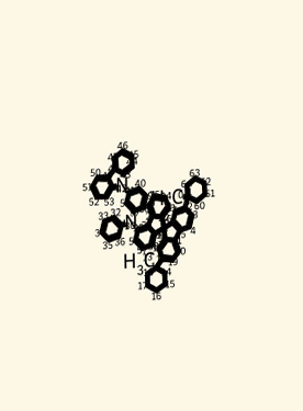 CC1(c2ccc3c(c2)C2(c4cc(C5(C)CCCCC5)ccc4-3)c3ccccc3-c3c(N(c4ccccc4)c4cccc(-n5c6ccccc6c6ccccc65)c4)cccc32)CCCCC1